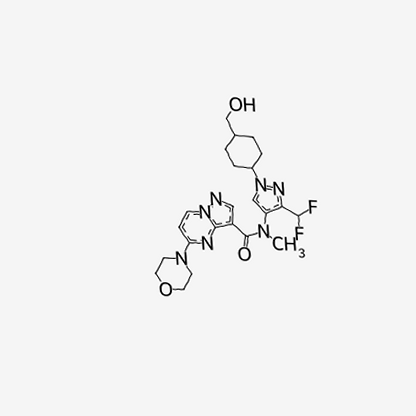 CN(C(=O)c1cnn2ccc(N3CCOCC3)nc12)c1cn(C2CCC(CO)CC2)nc1C(F)F